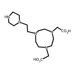 O=C(O)CN1CCN(CCN2CCNCC2)CCN(CC(=O)O)CC1